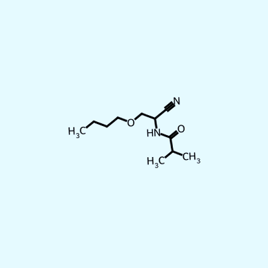 CCCCOCC(C#N)NC(=O)C(C)C